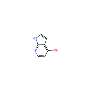 Oc1ccnc2[nH]ccc12